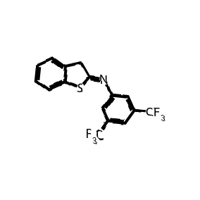 FC(F)(F)c1cc(N=C2Cc3ccccc3S2)cc(C(F)(F)F)c1